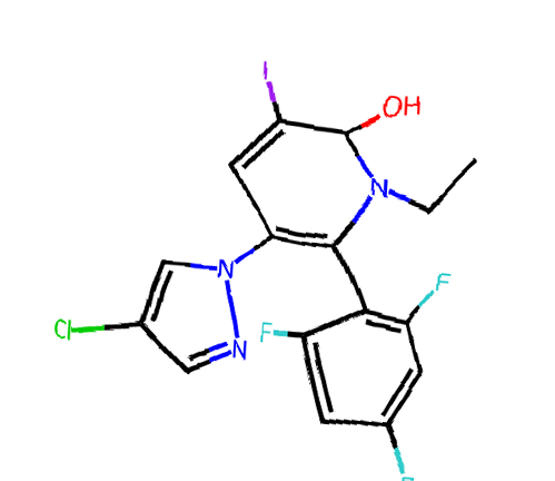 CCN1C(c2c(F)cc(F)cc2F)=C(n2cc(Cl)cn2)C=C(I)C1O